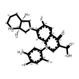 Nc1cc(-n2cc(C(=O)O)c(=O)c3cc(F)c(N4C[C@@H]5CCCN[C@@H]5C4)cc32)c(F)cc1F